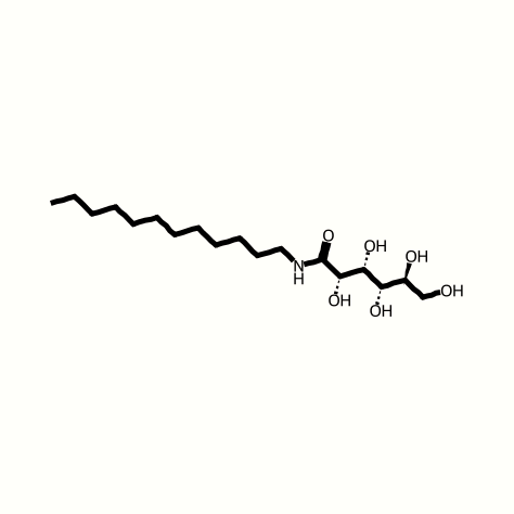 CCCCCCCCCCCCNC(=O)[C@@H](O)[C@H](O)[C@@H](O)[C@@H](O)CO